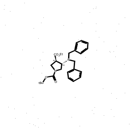 CCOC(=O)[C@@H]1CN(C(=O)OC(C)(C)C)C[C@H]1N(Cc1ccccc1)Cc1ccccc1